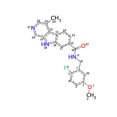 COc1ccc(F)c(CNC(=O)c2ccc3c(c2)[nH]c2cncc(C)c23)c1